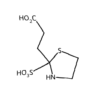 O=C(O)CCC1(S(=O)(=O)O)NCCS1